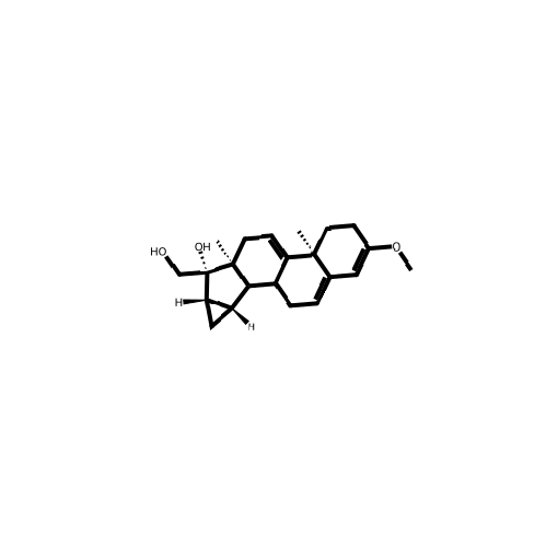 COC1=CC2=CCC3C(=CC[C@@]4(C)C3[C@@H]3C[C@@H]3[C@@]4(O)CO)[C@@]2(C)CC1